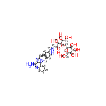 CCCCc1nc2c(N)nc3ccccc3c2n1Cc1ccc(CNC[C@H](O)[C@@H](O)C(OC[C@H]2O[C@H](CO)[C@@H](O)[C@H](O)[C@H]2O)[C@H](O)CO)cc1